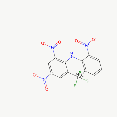 Cc1cccc([N+](=O)[O-])c1Nc1c([N+](=O)[O-])cc([N+](=O)[O-])cc1C(F)(F)F